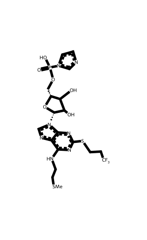 CSCCNc1nc(SCCC(F)(F)F)nc2c1ncn2[C@@H]1O[C@H](COP(=O)(O)n2ccnc2)C(O)C1O